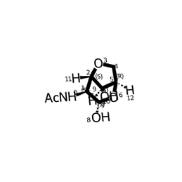 CC(=O)N[C@H]1[C@@H]2OC[C@@H](O[C@@H]1O)[C@H]2O